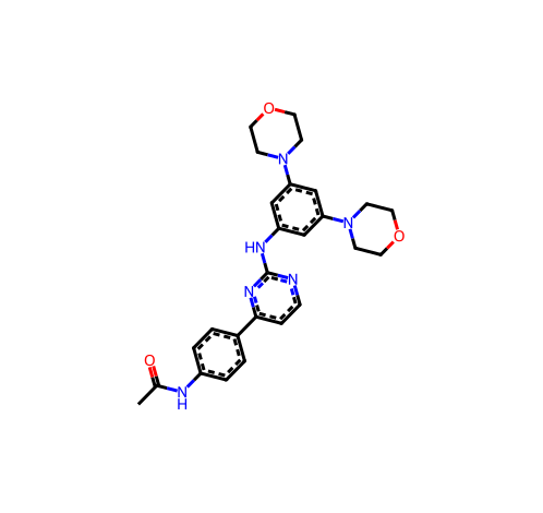 CC(=O)Nc1ccc(-c2ccnc(Nc3cc(N4CCOCC4)cc(N4CCOCC4)c3)n2)cc1